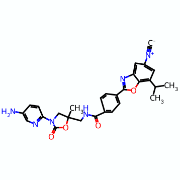 [C-]#[N+]c1cc(C(C)C)c2oc(-c3ccc(C(=O)NCC4(C)CN(c5ccc(N)cn5)C(=O)O4)cc3)nc2c1